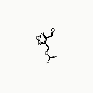 O=Cc1nonc1COC(F)F